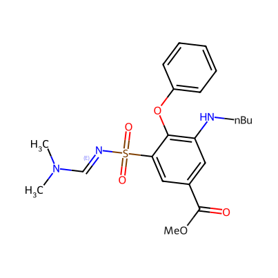 CCCCNc1cc(C(=O)OC)cc(S(=O)(=O)/N=C/N(C)C)c1Oc1ccccc1